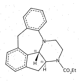 CCOC(=O)N1CCN2c3ccccc3Cc3cccc4c3[C@H]2[C@@H]1C4